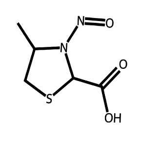 CC1CSC(C(=O)O)N1N=O